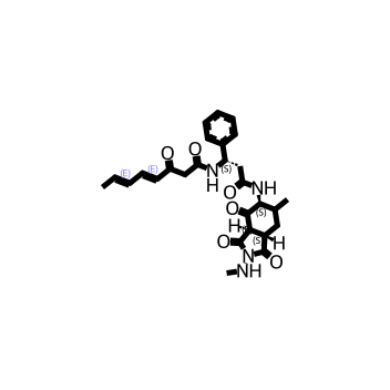 C/C=C/C=C/C(=O)CC(=O)N[C@@H](CC(=O)N[C@@H]1C(=O)[C@@H]2C(=O)N(NC)C(=O)[C@H]2CC1C)c1ccccc1